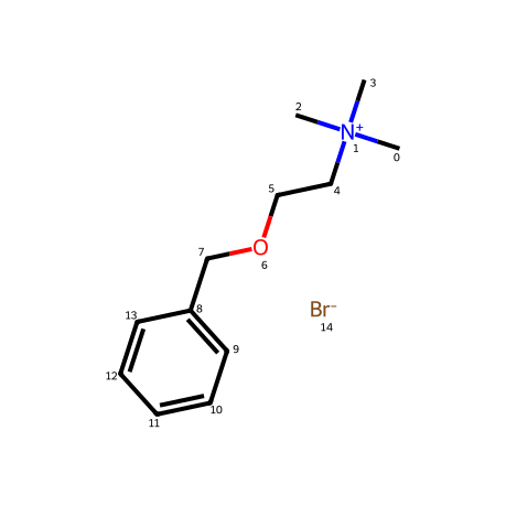 C[N+](C)(C)CCOCc1ccccc1.[Br-]